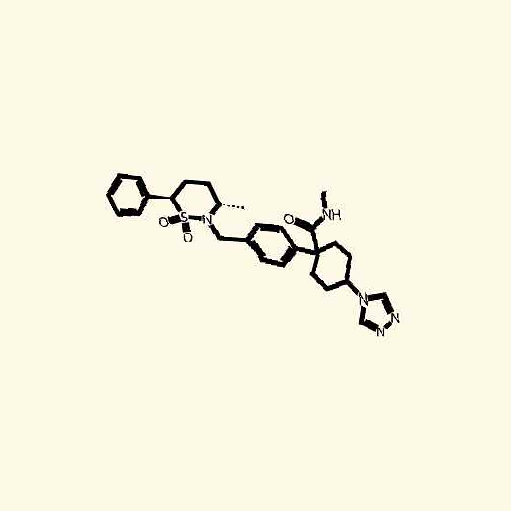 CNC(=O)C1(c2ccc(CN3[C@@H](C)CC[C@H](c4ccccc4)S3(=O)=O)cc2)CCC(n2cnnc2)CC1